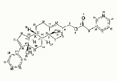 C[C@]12CCC(COC(=O)Cc3cccnc3)C=C1CC[C@@H]1[C@@H]2CC[C@]2(C)C(c3ccccc3)=CC[C@@H]12